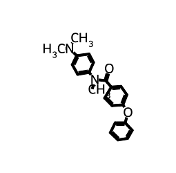 CN(C)c1ccc(N(C)C(=O)c2ccc(Oc3ccccc3)cc2)cc1